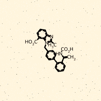 C=C(NC(=O)O)c1ccccc1-c1ccc(Cn2c(C)nc3cccc(C(=O)O)c32)cc1